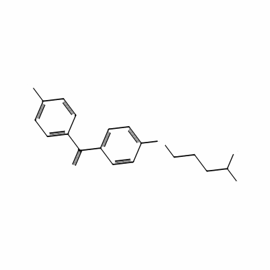 CCC(Br)CCCOc1ccc(C(=O)c2ccc(Br)cc2)cc1